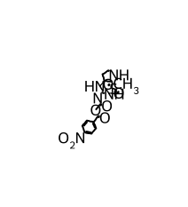 CS(=O)(=O)NC(=NC(=O)OC(=O)c1ccc([N+](=O)[O-])cc1)N[C@H]1CCNC1